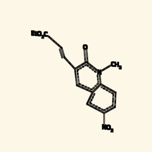 CCOC(=O)/C=C/c1cc2cc([N+](=O)[O-])ccc2n(C)c1=O